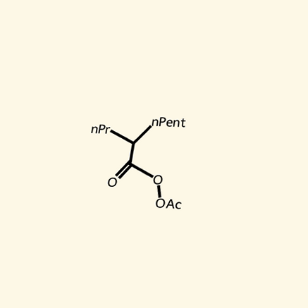 CCCCCC(CCC)C(=O)OOC(C)=O